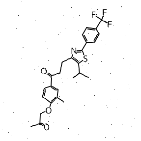 CC(=O)COc1ccc(C(=O)CCc2nc(-c3ccc(C(F)(F)F)cc3)sc2C(C)C)cc1C